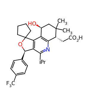 CC(C)c1nc2c(c3c1[C@@H](c1ccc(C(F)(F)F)cc1)OC31CCCC1)[C@@H](O)CC(C)(C)[C@@H]2CC(=O)O